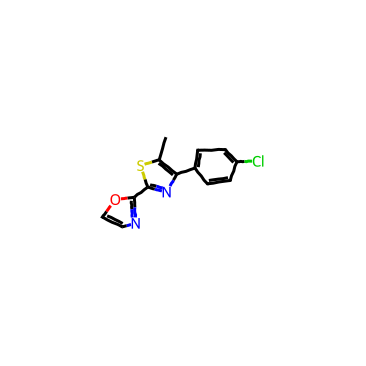 Cc1sc(-c2ncco2)nc1-c1ccc(Cl)cc1